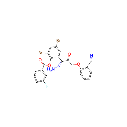 N#Cc1ccccc1OCC(=O)C(=NN)c1cc(Br)cc(Br)c1OC(=O)c1cccc(F)c1